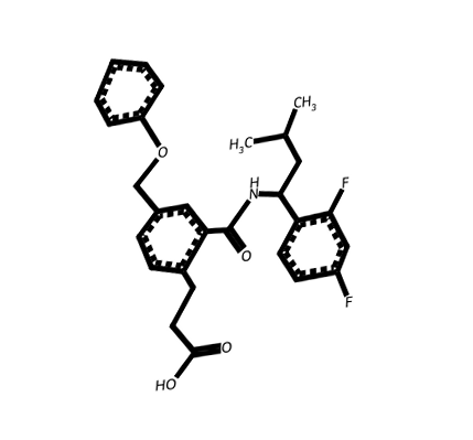 CC(C)CC(NC(=O)c1cc(COc2ccccc2)ccc1CCC(=O)O)c1ccc(F)cc1F